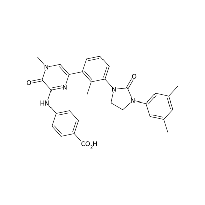 Cc1cc(C)cc(N2CCN(c3cccc(-c4cn(C)c(=O)c(Nc5ccc(C(=O)O)cc5)n4)c3C)C2=O)c1